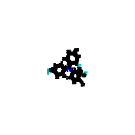 Cc1ccc(N(c2ccc(F)cc2)c2ccc(C)c(F)c2F)cc1